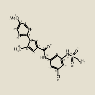 COc1cnc(-n2cc(C(=O)Nc3cc(Cl)cc(NS(C)(=O)=O)c3)cc2C)nc1